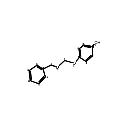 Oc1ccc(OCOCc2ccccc2)cc1